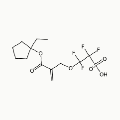 C=C(COC(F)(F)C(F)(F)S(=O)(=O)O)C(=O)OC1(CC)CCCC1